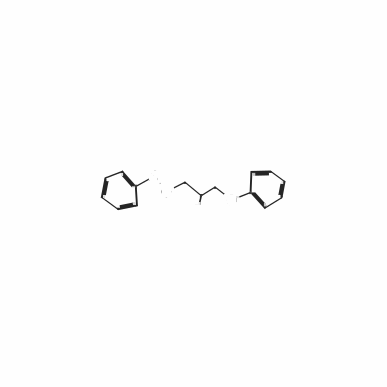 FC(COSc1ccccc1)COc1ccccc1